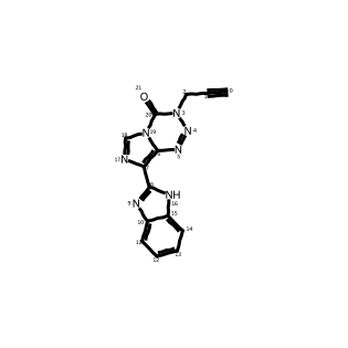 C#CCn1nnc2c(-c3nc4ccccc4[nH]3)ncn2c1=O